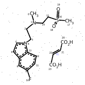 CN(CCn1ccc2cc(F)ccc21)CCS(C)(=O)=O.O=C(O)/C=C/C(=O)O